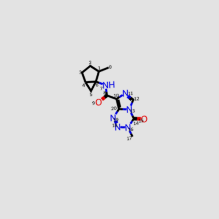 CC1CCC2CC12NC(=O)c1ncn2c(=O)n(C)nnc12